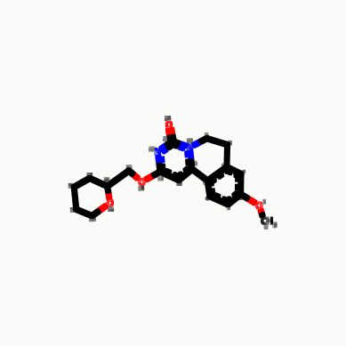 COc1ccc2c(c1)CCn1c-2cc(OCC2CCCCO2)nc1=O